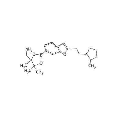 CC1CCCN1CCc1cc2ccc(B3OC(C)(C)C(C)(CN)O3)cc2o1